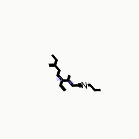 C=CC(=C/CC(=C)CC)/C(C)=C/C#[N+]CCC